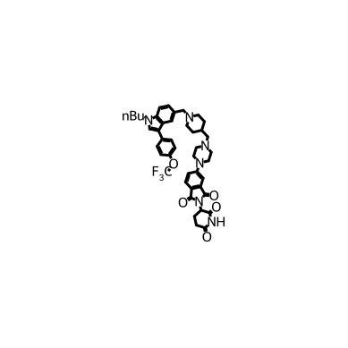 CCCCn1cc(-c2ccc(OC(F)(F)F)cc2)c2cc(CN3CCC(CN4CCN(c5ccc6c(c5)C(=O)N(C5CCC(=O)NC5=O)C6=O)CC4)CC3)ccc21